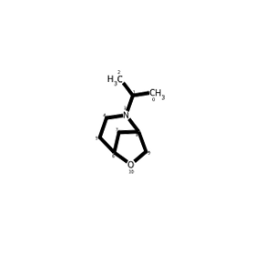 CC(C)N1CCC2CC1CO2